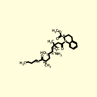 CCCCNC(=O)[C@H](C)C[C@H](O)[C@@H](N)CC(C)(C)CC(=O)N1c2ccccc2CC[C@@H]1C(=O)OC